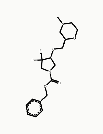 CN1CCOC(COC2CN(C(=O)OCc3ccccc3)CC2(F)F)C1